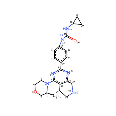 C[C@H]1COCCN1c1nc(-c2ccc(NC(=O)NC3CC3)cc2)nc2c1CCNC2